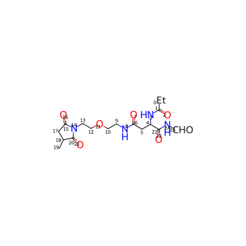 CCC(=O)NC(CC(=O)NCCOCCN1C(=O)CC(C)C1=O)C(=O)NC=O